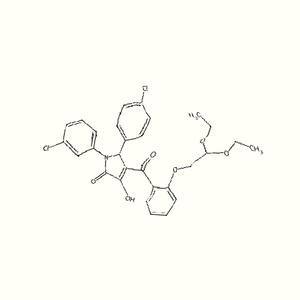 CCOC(COc1ccccc1C(=O)C1=C(O)C(=O)N(c2cccc(Cl)c2)C1c1ccc(Cl)cc1)OCC